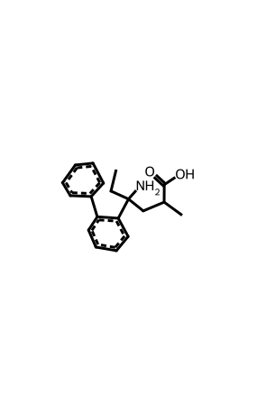 CCC(N)(CC(C)C(=O)O)c1ccccc1-c1ccccc1